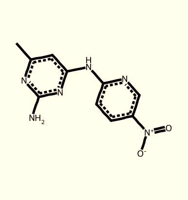 Cc1cc(Nc2ccc([N+](=O)[O-])cn2)nc(N)n1